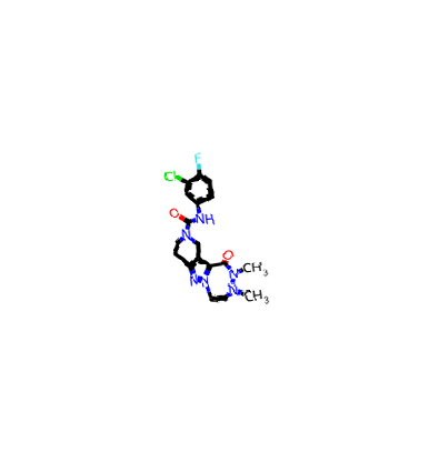 CN1CCn2nc3c(c2C(=O)N1C)CN(C(=O)Nc1ccc(F)c(Cl)c1)CC3